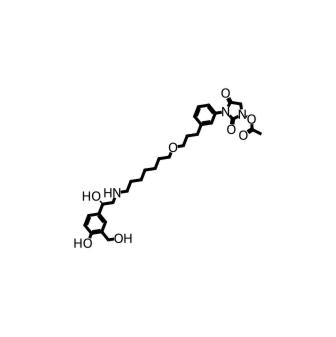 CC(=O)ON1CC(=O)N(c2cccc(CCCOCCCCCCCNC[C@@H](O)c3ccc(O)c(CO)c3)c2)C1=O